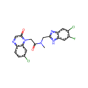 CN(Cc1nc2cc(Cl)c(F)cc2[nH]1)C(=O)Cn1c(=O)cnc2ccc(Cl)cc21